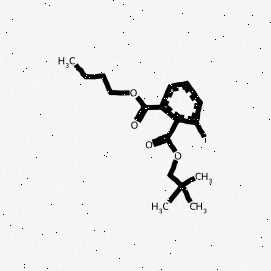 CCCCOC(=O)c1cccc(I)c1C(=O)OCC(C)(C)C